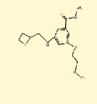 COCCOc1cc(NCC2CCO2)cc(C(=O)OC)c1